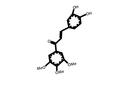 COc1cc(C(=O)/C=C/c2ccc(O)c(O)c2)cc(OC)c1OC